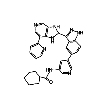 O=C(Nc1cncc(-c2ccc3[nH]nc(C4Nc5cncc(-c6ccccn6)c5N4)c3c2)c1)C1CCCCC1